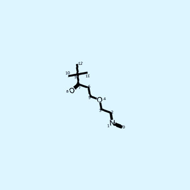 C=NCCOCCC(=O)C(C)(C)C